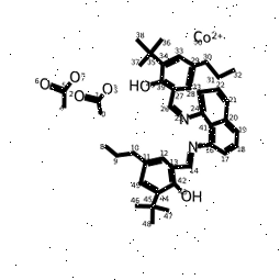 CC(=O)[O-].CC(=O)[O-].CCCc1cc(C=Nc2cccc3cccc(N=Cc4cc(CCC)cc(C(C)(C)C)c4O)c23)c(O)c(C(C)(C)C)c1.[Co+2]